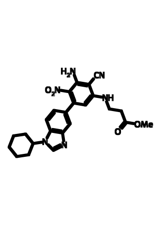 COC(=O)CCNc1cc(-c2ccc3c(c2)ncn3C2CCCCC2)c([N+](=O)[O-])c(N)c1C#N